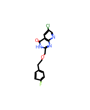 O=c1[nH]c(COCCc2ccc(F)cc2)nc2ncc(Cl)cc12